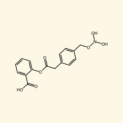 O=C(Cc1ccc(CON(O)O)cc1)Oc1ccccc1C(=O)O